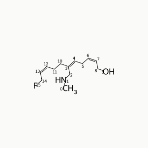 CNC/C(=C\C/C=C\CO)CC/C=C\CF